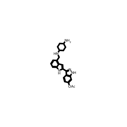 CC(=O)Oc1ccc2c(-c3cc4c(CNC5CCC(N)CC5)cccc4[nH]3)n[nH]c2c1